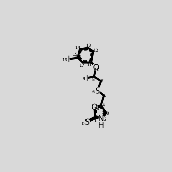 S=c1[nH]cc(CSCC(I)Oc2cccc(I)c2)o1